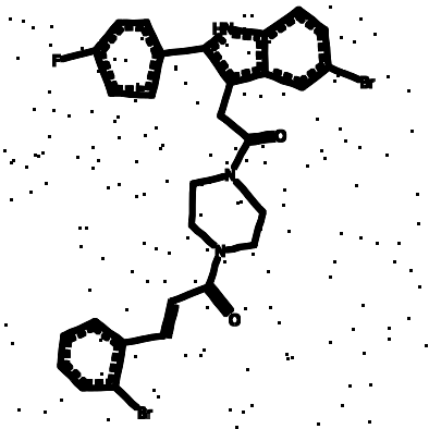 O=C(/C=C/c1ccccc1Br)N1CCN(C(=O)Cc2c(-c3ccc(F)cc3)[nH]c3ccc(Br)cc23)CC1